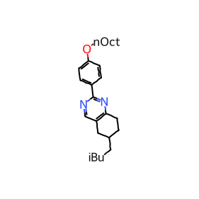 CCCCCCCCOc1ccc(-c2ncc3c(n2)CCC(CC(C)CC)C3)cc1